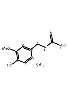 CCCCCCCCC(=O)NCc1ccc(O)c(OC)c1.[CaH2]